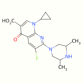 CC1CN(c2nc3c(cc2F)c(=O)c(C(=O)O)cn3C2CC2)CC(C)N1